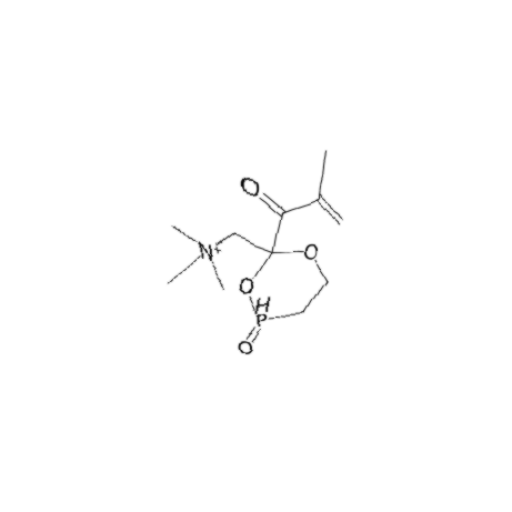 C=C(C)C(=O)C1(C[N+](C)(C)C)OCC[PH](=O)O1